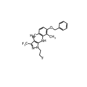 Cc1ccc(OCc2ccccc2)c(C)c1Nc1c(Br)c(C(F)(F)F)nn1CCF